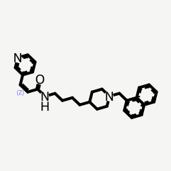 O=C(/C=C\c1cccnc1)NCCCCC1CCN(Cc2cccc3ccccc23)CC1